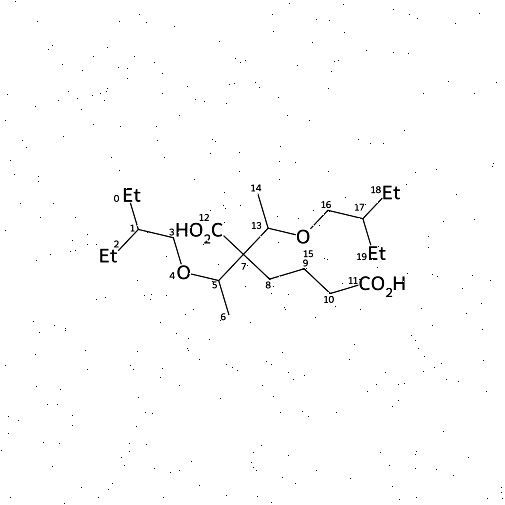 CCC(CC)COC(C)C(CCCC(=O)O)(C(=O)O)C(C)OCC(CC)CC